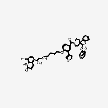 O=C(c1ccc(OCCCCCNCC(O)c2ccc(O)c3[nH]c(=O)ccc23)c(-c2ccsc2)c1)N1CCC(C(=O)O[C@H]2CN3CCC2CC3)(c2ccccc2)CC1